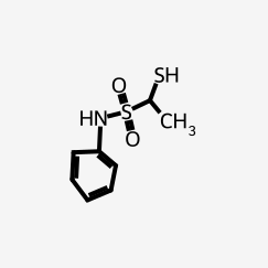 CC(S)S(=O)(=O)Nc1ccccc1